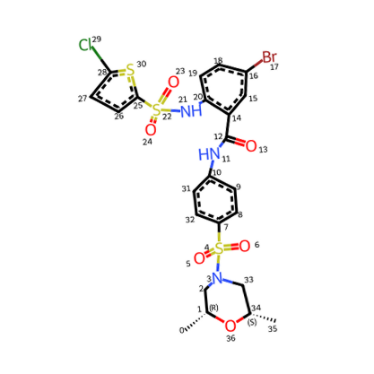 C[C@@H]1CN(S(=O)(=O)c2ccc(NC(=O)c3cc(Br)ccc3NS(=O)(=O)c3ccc(Cl)s3)cc2)C[C@H](C)O1